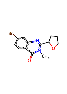 Cn1c(C2CCCO2)nc2cc(Br)ccc2c1=O